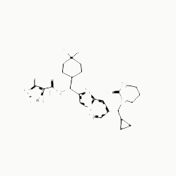 Cc1nonc1C(=O)N[C@H](c1cn2ncc([C@@H](C3CC3)N3CC[C@@H](C(F)(F)F)NC3=O)cc2n1)C1CCC(F)(F)CC1